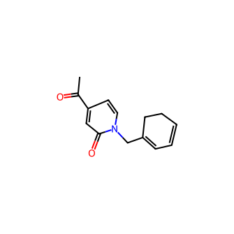 CC(=O)c1ccn(CC2=CC=CCC2)c(=O)c1